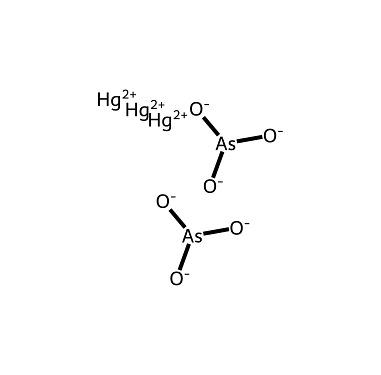 [Hg+2].[Hg+2].[Hg+2].[O-][As]([O-])[O-].[O-][As]([O-])[O-]